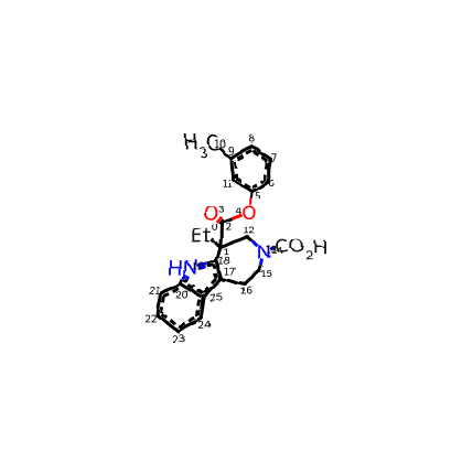 CCC1(C(=O)Oc2cccc(C)c2)CN(C(=O)O)CCc2c1[nH]c1ccccc21